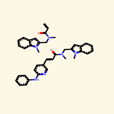 C=CC(=O)N(C)Cc1cc2ccccc2n1C.CN(Cc1cc2ccccc2n1C)C(=O)/C=C/c1ccc(Nc2ccccc2)nc1